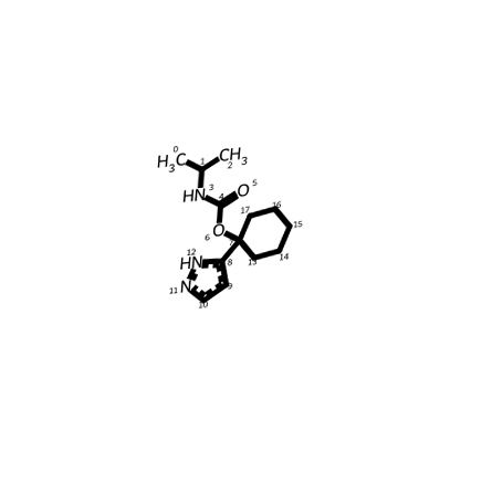 CC(C)NC(=O)OC1(c2ccn[nH]2)CCCCC1